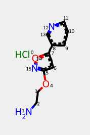 Cl.NCCOc1cc(-c2cccnc2)on1